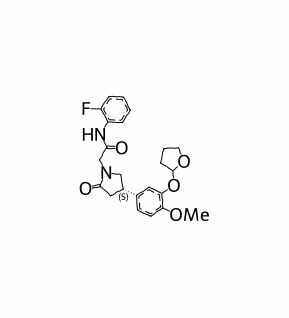 COc1ccc([C@@H]2CC(=O)N(CC(=O)Nc3ccccc3F)C2)cc1OC1CCCO1